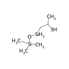 CC(S)C[SiH2]O[Si](C)(C)C